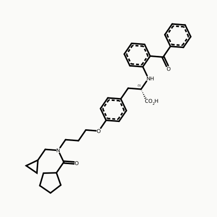 O=C(c1ccccc1)c1ccccc1N[C@@H](Cc1ccc(OCCCN(CC2CC2)C(=O)C2CCCC2)cc1)C(=O)O